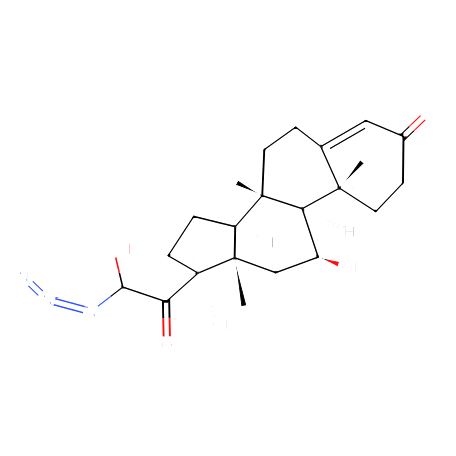 C[C@]12CCC(=O)C=C1CC[C@@H]1[C@@H]2[C@@H](O)C[C@@]2(C)[C@H]1CC[C@]2(O)C(=O)C(O)N=[N+]=[N-]